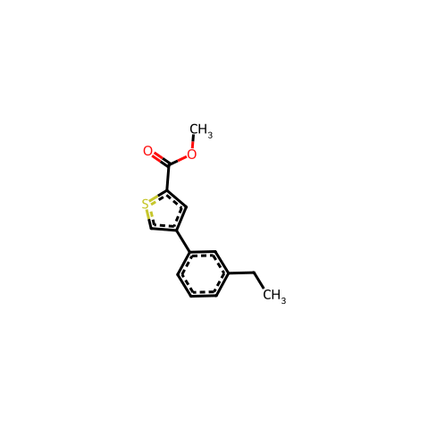 CCc1cccc(-c2csc(C(=O)OC)c2)c1